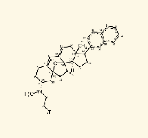 CN(CCF)[C@@H]1CCC2=CC3=CC[C@]4(C)C(c5ccc6ccccc6c5)CC[C@H]4C34CC[C@]2(C1)O4